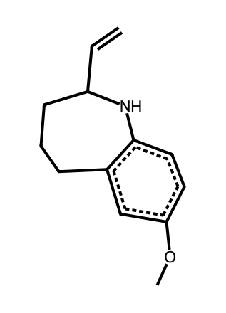 C=CC1CCCc2cc(OC)ccc2N1